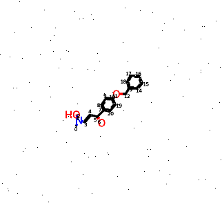 CN(O)C=CC(=O)c1ccc(OCc2ccccc2)cc1